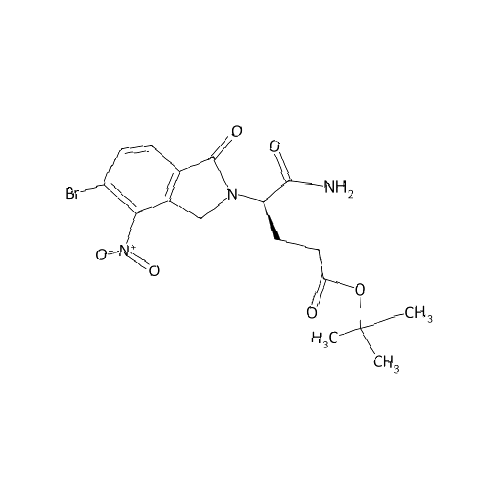 CC(C)(C)OC(=O)CC[C@H](C(N)=O)N1Cc2c(ccc(Br)c2[N+](=O)[O-])C1=O